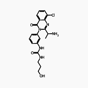 CC(N)c1nc2c(Cl)cccc2c(=O)n1-c1cccc(NC(=O)NCCCO)c1